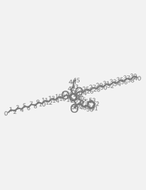 CCCCCCCCCCCCCCCCCOc1cc2c(c(OCCCCCCCCCCCCCCCCC)c1CCCC)SC(=Cc1ccccc1)C2=O